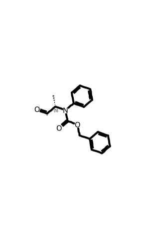 C[C@@H]([C]=O)N(C(=O)OCc1ccccc1)c1ccccc1